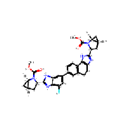 CC(C)(C)OC(=O)N1[C@@H]2C[C@@H]2C[C@H]1c1nc2c([nH]1)-c1ccc(-c3cc(F)c4nc([C@@H]5C[C@H]6C[C@H]6N5C(=O)OC(C)(C)C)[nH]c4c3)cc1CC2